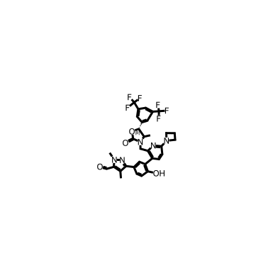 Cc1c(-c2ccc(O)c(-c3ccc(N4CCC4)nc3CN3C(=O)O[C@H](c4cc(C(F)(F)F)cc(C(F)(F)F)c4)C3C)c2)nn(C)c1C=O